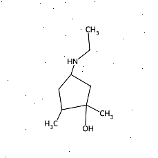 CCNC1CC(C)C(C)(O)C1